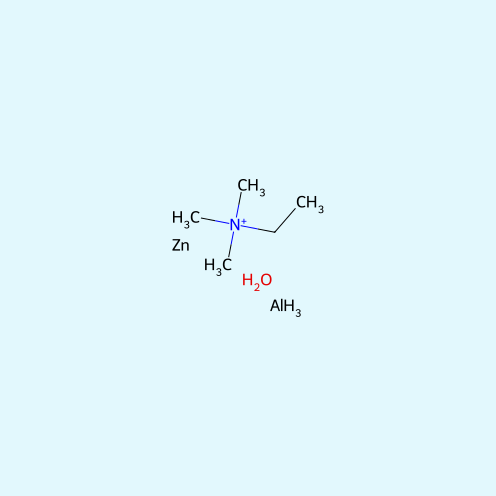 CC[N+](C)(C)C.O.[AlH3].[Zn]